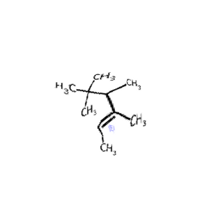 C/C=C(\C)C(C)C(C)(C)C